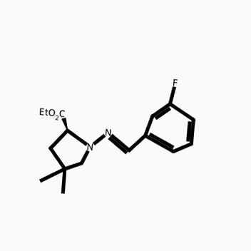 CCOC(=O)[C@@H]1CC(C)(C)CN1/N=C/c1cccc(F)c1